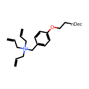 C=CC[N+](CC=C)(CC=C)Cc1ccc(OCCCCCCCCCCCC)cc1